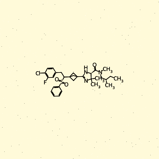 CC[C@@H](C)CN(C)C(=O)[C@@H]1NC(C23CC(C(Cc4ccc(Cl)c(F)c4)S(=O)(=O)c4ccccc4)(C2)C3)=NC1(C)C